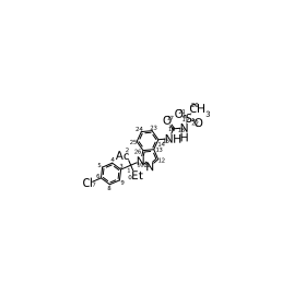 CCC(C(C)=O)(c1ccc(Cl)cc1)n1ncc2c(NC(=O)NS(C)(=O)=O)cccc21